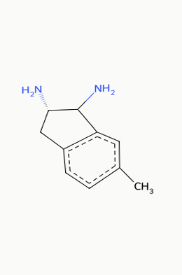 Cc1ccc2c(c1)C(N)[C@@H](N)C2